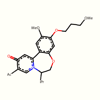 COCCCOc1cc2c(cc1OC)-c1cc(=O)c(C(C)=O)cn1C(C(C)C)CO2